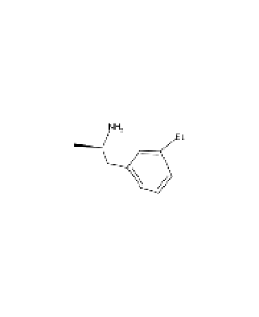 [CH2]Cc1cccc(C[C@@H](C)N)c1